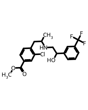 COC(=O)c1ccc(CC(C)NCC(O)c2cccc(C(F)(F)F)c2)c(Cl)c1